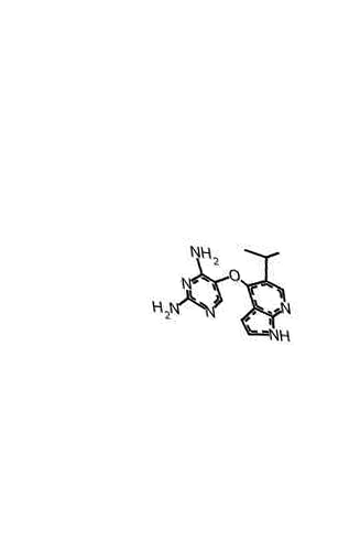 CC(C)c1cnc2[nH]ccc2c1Oc1cnc(N)nc1N